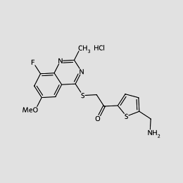 COc1cc(F)c2nc(C)nc(SCC(=O)c3ccc(CN)s3)c2c1.Cl